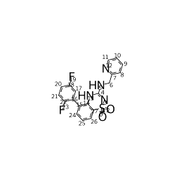 O=S1(=O)N=C(NCc2ccccn2)Nc2c(-c3cc(F)ccc3F)cccc21